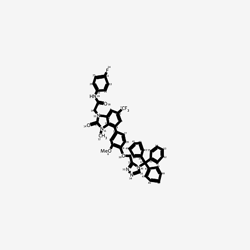 COc1cc(-c2cc(C(F)(F)F)cc3c2n(C)c(=O)n3CC(=O)Nc2ccc(F)cc2)ccc1OCc1nncn1C(c1ccccc1)(c1ccccc1)c1ccccc1